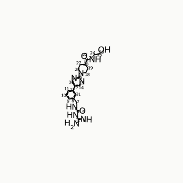 N=C(N)NC(=O)NCc1cccc(-c2cnc(N3CCC(C(=O)NCCO)CC3)nc2)c1